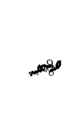 CN(C)CCCOc1ccc(/C=c2\[nH]c(=O)/c(=C/c3ccccc3)[nH]c2=O)cc1